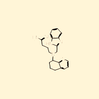 N=C(N)CCCN(Cc1nc2ccccc2[nH]1)C1CCCc2cccnc21